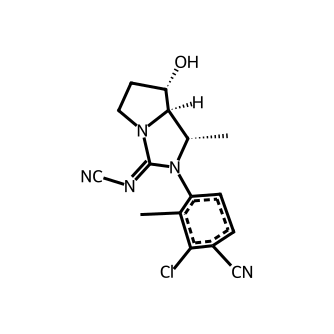 Cc1c(N2/C(=N/C#N)N3CC[C@H](O)[C@H]3[C@@H]2C)ccc(C#N)c1Cl